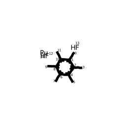 Cc1c(C)c(C)c(C)c(C)c1C.F.F.[Ru]